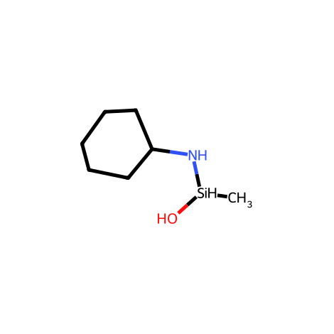 C[SiH](O)NC1CCCCC1